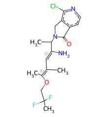 CC(/C=C(\N)C(C)N1Cc2c(ccnc2Cl)C1=O)=C(/C)OCC(C)(F)F